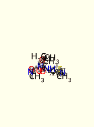 Cc1cc(CC(=O)N2CC(OC(C)(C)C)C[C@H]2C(=O)NCc2ccc(-c3scnc3C)cc2)on1